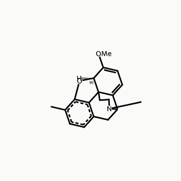 COC1=CC=C2C3Cc4ccc(C)c5c4C2(CCN3C)[C@H]1O5